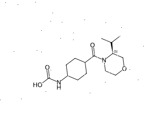 CC(C)[C@H]1COCCN1C(=O)C1CCC(NC(=O)O)CC1